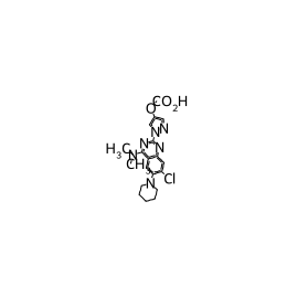 CN(C)c1nc(-n2cc(OC(=O)O)cn2)nc2cc(Cl)c(N3CCCCC3)cc12